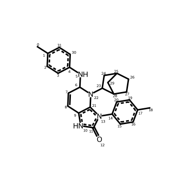 Cc1ccc(NC2C=Cc3[nH]c(=O)n(-c4ccc(C)cc4)c3N2C2CC3CCC2C3)cc1